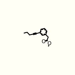 CCCC#Cc1cccc(CC(=O)OC)c1